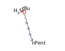 CCCCC/C=C/C/C=C/C/C=C/C/C=C/CCCCO[SiH2]C(C)(C)C